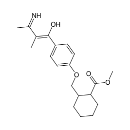 COC(=O)C1CCCCC1COc1ccc(/C(O)=C(\C)C(C)=N)cc1